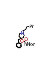 CCCCCCCCCC(=O)OC1(Cc2ccccc2)CCN(CCCC(C)C)CC1